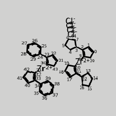 C1=CC(C2CCCC2)=[C]([Zr+2][C]2=C(C3CCCC3)C=CC2)C1.C1=CC(c2ccccc2)=[C]([Zr+2][C]2=C(c3ccccc3)C=CC2)C1.[Cl-].[Cl-].[Cl-].[Cl-]